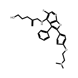 C=C(CCCO)CNc1c(F)cnc2oc(-c3ccc(OCCN(C)C)cc3)c(-c3ccccc3)c12